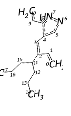 C=C/C(=C\c1cn[nH]c1C=C)C(CCC)CCC